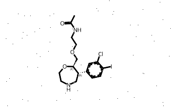 CC(=O)NCCOC[C@@H]1OCCNC[C@H]1c1ccc(I)c(Cl)c1